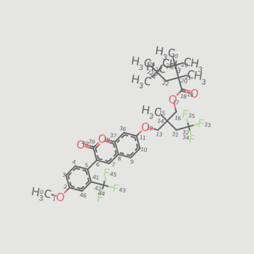 COc1ccc(-c2cc3ccc(OCC(C)(COC(=O)C(C)(CC(C)(C)C)C(C)(C)C)CC(F)(F)F)cc3oc2=O)c(C(F)(F)F)c1